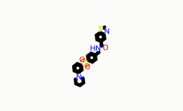 O=C(NCc1ccc(S(=O)(=O)c2cccc(N3CCCCC3)c2)cc1)c1ccc2scnc2c1